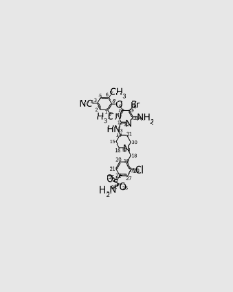 Cc1cc(C#N)cc(C)c1Oc1nc(NC2CCN(Cc3ccc(S(N)(=O)=O)cc3Cl)CC2)nc(N)c1Br